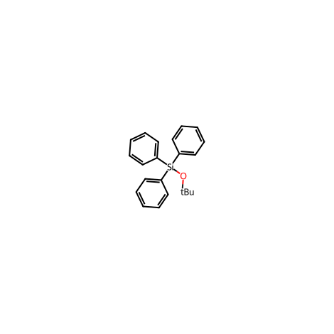 CC(C)(C)O[Si](c1ccccc1)(c1ccccc1)c1ccccc1